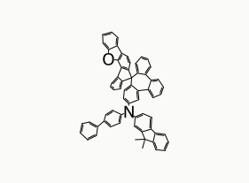 CC1(C)c2ccccc2-c2ccc(N(c3ccc(-c4ccccc4)cc3)c3ccc4c(c3)-c3ccccc3-c3ccccc3C43c4ccccc4-c4c3ccc3c4oc4ccccc43)cc21